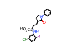 O=C(O)[C@@H](CC=C1CCN(c2ccccc2)C1=O)Nc1cc(Cl)ccc1I